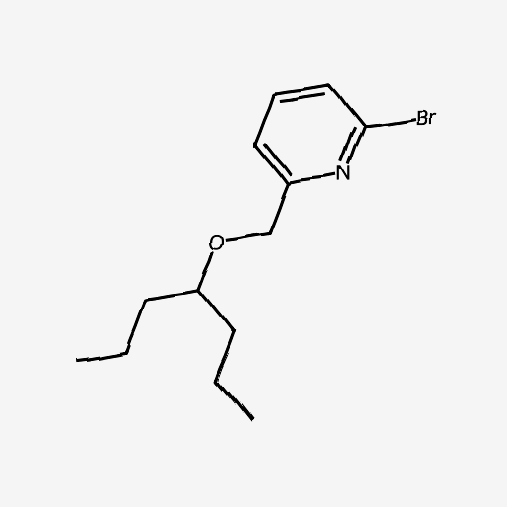 CCCC(CCC)OCc1cccc(Br)n1